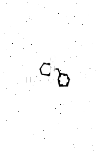 NC1CCC(=O)N(Cc2ccccc2)C1=O